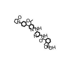 CC1Oc2cc(N3CCCC3=O)ccc2-c2cnc(Nc3cncc(NC(=O)c4cccc5c4COB5O)c3)cc21